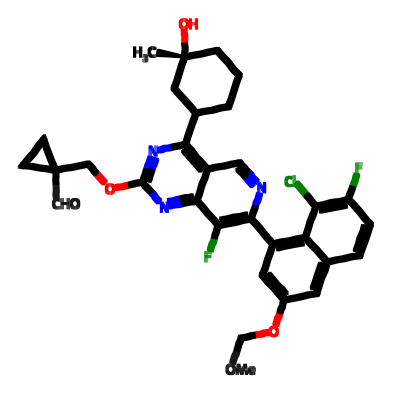 COCOc1cc(-c2ncc3c(C4CCC[C@@](C)(O)C4)nc(OCC4(C=O)CC4)nc3c2F)c2c(Cl)c(F)ccc2c1